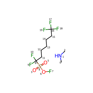 CNC.O=S(=O)(OF)C(F)(F)CCCCCC(F)(F)F